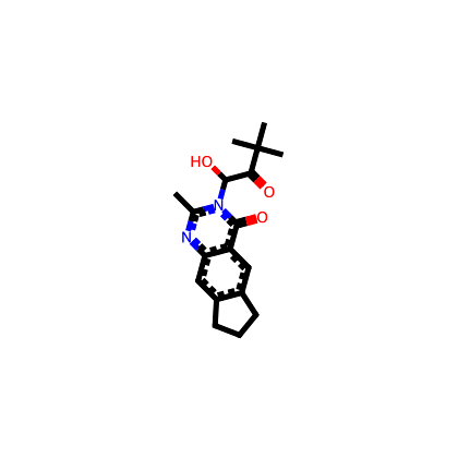 Cc1nc2cc3c(cc2c(=O)n1C(O)C(=O)C(C)(C)C)CCC3